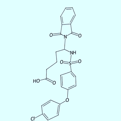 O=C(O)CCCC(NS(=O)(=O)c1ccc(Oc2ccc(Cl)cc2)cc1)N1C(=O)c2ccccc2C1=O